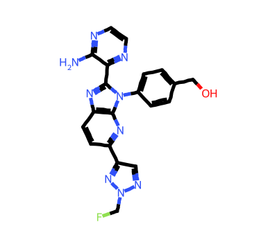 Nc1nccnc1-c1nc2ccc(-c3cnn(CF)n3)nc2n1-c1ccc(CO)cc1